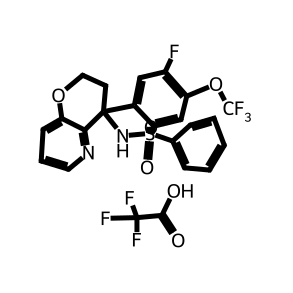 O=C(O)C(F)(F)F.O=S(=O)(NC1(c2ccc(OC(F)(F)F)c(F)c2)CCOc2cccnc21)c1ccccc1